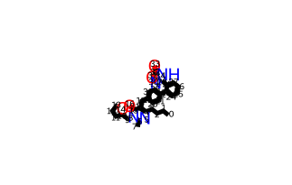 CCCCc1nc(C)n(CC2CCCO2)c(=O)c1Cc1ccc(-c2ccccc2-c2noc(=O)[nH]2)cc1